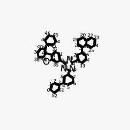 c1ccc(-c2cccc(-c3nc(-c4cccc(-c5cccc6ccccc56)c4)nc(-c4ccc5c(c4)oc4cccc(-c6ccccc6)c45)n3)c2)cc1